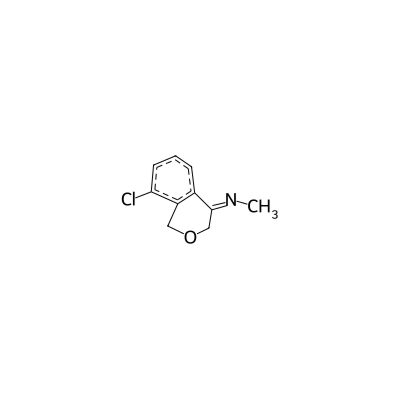 C/N=C1\COCc2c(Cl)cccc21